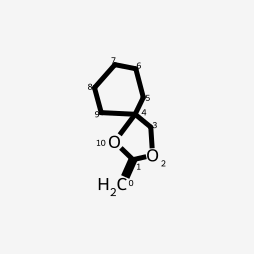 C=C1OCC2(CCCCC2)O1